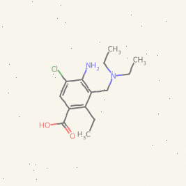 CCc1c(C(=O)O)cc(Cl)c(N)c1CN(CC)CC